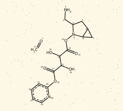 C=O.NCC1CC2CC2N1OC(=O)C(O)C(O)C(=O)Oc1ccccn1